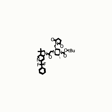 C[C@@H]1CN(CC(=O)N2CC(C)(C)c3cnc(C(F)(F)c4ccccc4)cc32)[C@@H](CN2C(=O)CCC2=O)CN1C(=O)OC(C)(C)C